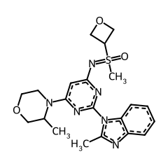 Cc1nc2ccccc2n1-c1nc(N=S(C)(=O)C2COC2)cc(N2CCOCC2C)n1